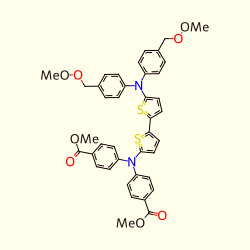 COOCc1ccc(N(c2ccc(COOC)cc2)c2ccc(-c3ccc(N(c4ccc(C(=O)OC)cc4)c4ccc(C(=O)OC)cc4)s3)s2)cc1